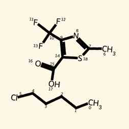 CCCCCCl.Cc1nc(C(F)(F)F)c(C(=O)O)s1